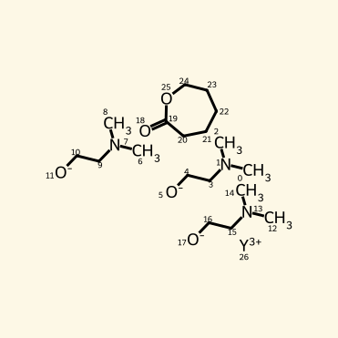 CN(C)CC[O-].CN(C)CC[O-].CN(C)CC[O-].O=C1CCCCCO1.[Y+3]